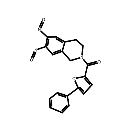 O=Nc1cc2c(cc1N=O)CN(C(=O)c1ccc(-c3ccccc3)o1)CC2